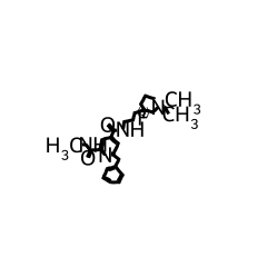 CNC(=O)c1cc(C(=O)NCCC[C@]2(F)CCCN(C(C)C)C2)cc(Cc2ccccc2)n1